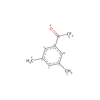 Cc1cc(C)cc(C(=O)C(F)(F)F)c1